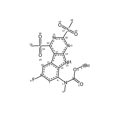 CN(C(=O)OC(C)(C)C)c1cc(F)cc2c1[nH]c1nc(S(C)(=O)=O)nc(S(C)(=O)=O)c12